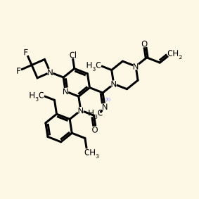 C=CC(=O)N1CCN(/C(=N/C)c2cc(Cl)c(N3CC(F)(F)C3)nc2N(C=O)c2c(CC)cccc2CC)C(C)C1